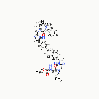 CCCN(Cc1ncc(-c2ccc3cc(-c4ccc(-c5cnc(CN(CCC)C(=O)C(c6ccccc6)N(C)C)[nH]5)cc4)ccc3c2)[nH]1)C(=O)CNC(=O)OC